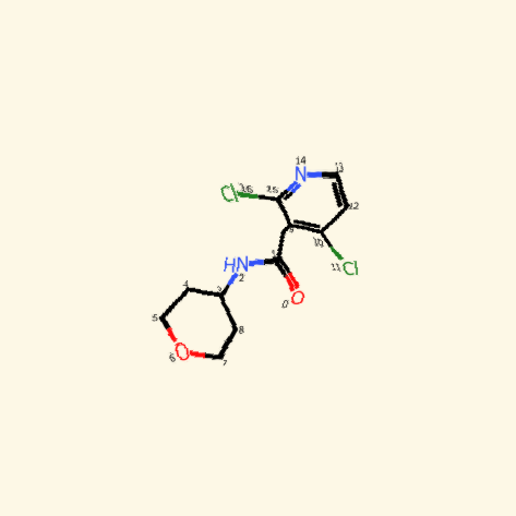 O=C(NC1CCOCC1)c1c(Cl)ccnc1Cl